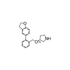 c1ccc(-c2ccc3c(c2)CCO3)c(CO[C@H]2CCNC2)c1